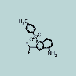 Cc1ccc(S(=O)(=O)n2c(C(F)F)cc3c(N)cccc32)cc1